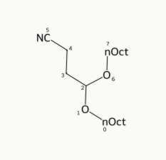 CCCCCCCCOC(CCC#N)OCCCCCCCC